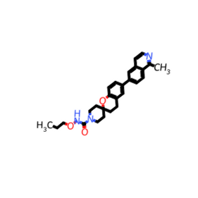 CCCONC(=O)N1CCC2(CCc3cc(-c4ccc5c(C)nccc5c4)ccc3O2)CC1